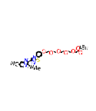 CNc1c(-c2cn3c(n2)sc2cc(OCCOCCOCCOCCOCC(=O)OC(C)(C)C)ccc23)nc2cc(C#N)ccn12